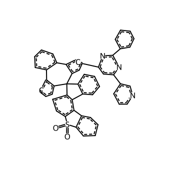 O=S1(=O)c2ccccc2-c2c1ccc1c2-c2ccccc2C12c1ccccc1-c1ccccc1-c1ccc(-c3cc(-c4cccnc4)nc(-c4ccccc4)n3)cc12